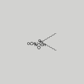 CCCCCCCCCCCCN(CCCCCCCCCCCC)C(=O)c1c(C)c(N=Nc2ccc(OC)cc2)c2ccccc2c1O